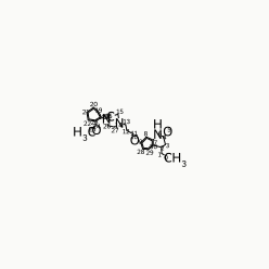 CCC1CC(=O)Nc2cc(OCCCN3CCN(c4ccccc4OC)CC3)ccc21